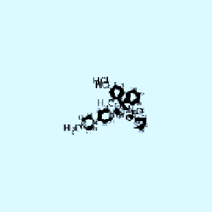 Cc1ccccc1C1(OC(=O)N2CCC(N3CCN(C)CC3)CC2)C(=O)N(S(=O)(=O)c2cccs2)c2ccccc21.Cl.Cl